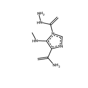 C=C(N)c1ncn(C(=C)NN)c1NC